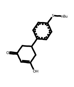 CCCCSc1ccc(C2CC(=O)C=C(O)C2)cc1